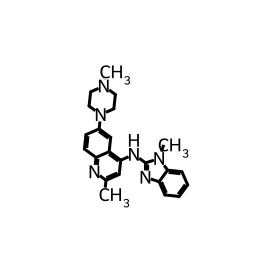 Cc1cc(Nc2nc3ccccc3n2C)c2cc(N3CCN(C)CC3)ccc2n1